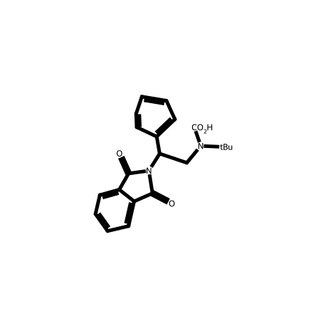 CC(C)(C)N(CC(c1ccccc1)N1C(=O)c2ccccc2C1=O)C(=O)O